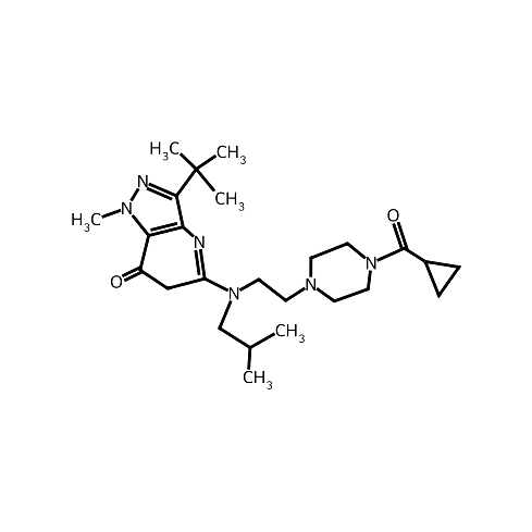 CC(C)CN(CCN1CCN(C(=O)C2CC2)CC1)C1=Nc2c(C(C)(C)C)nn(C)c2C(=O)C1